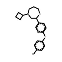 Clc1ccc(Oc2ccc(C3CN(C4CCC4)CCC[N]3)cn2)cc1